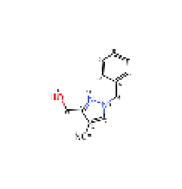 N#Cc1cn(Cc2ccccc2)nc1CO